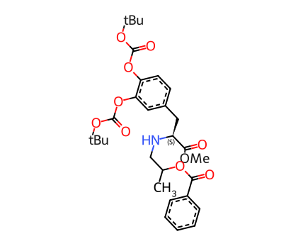 COC(=O)[C@H](Cc1ccc(OC(=O)OC(C)(C)C)c(OC(=O)OC(C)(C)C)c1)NCC(C)OC(=O)c1ccccc1